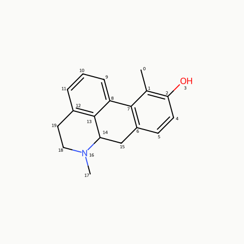 Cc1c(O)ccc2c1-c1cccc3c1C(C2)N(C)CC3